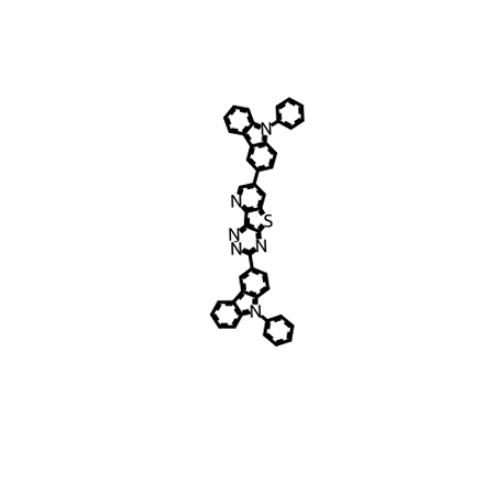 c1ccc(-n2c3ccccc3c3cc(-c4cnc5c(c4)sc4nc(-c6ccc7c(c6)c6ccccc6n7-c6ccccc6)nnc45)ccc32)cc1